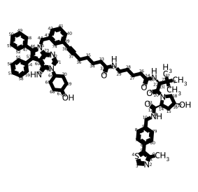 Cc1ncsc1-c1ccc(CNC(=O)[C@@H]2C[C@@H](O)CN2C(=O)[C@@H](NC(=O)CCCCNC(=O)CCCCC#Cc2cccc(Cn3c(-c4ccccc4)c(-c4ccccc4)c4c(=N)n(C5CCC(O)CC5)cnc43)c2)C(C)(C)C)cc1